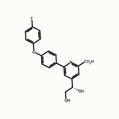 O=C(O)c1cc([C@H](O)CO)cc(-c2ccc(Oc3ccc(F)cc3)cc2)n1